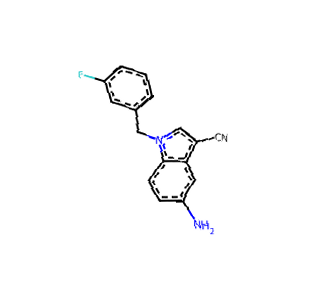 N#Cc1cn(Cc2cccc(F)c2)c2ccc(N)cc12